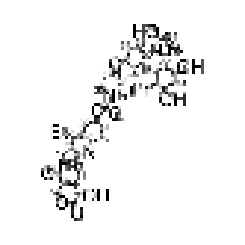 CCc1c2c(nc3ccc(OC(=O)N4CCC(Oc5ccc(-n6c(O)nnc6-c6cc(C(C)C)c(O)cc6O)cc5)CC4)cc13)-c1cc3c(c(=O)n1C2)COC(=O)[C@H]3O